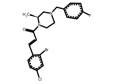 C[C@H]1CN(Cc2ccc(F)cc2)CCN1C(=O)/C=C/c1ccc(Cl)cc1Br